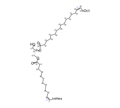 CCCCCC/C=C\CCCCCCCCCC(=O)OC[C@H](CO)OC(=O)CCCCCCCCCCCCC/C=C\CCCCCCCC